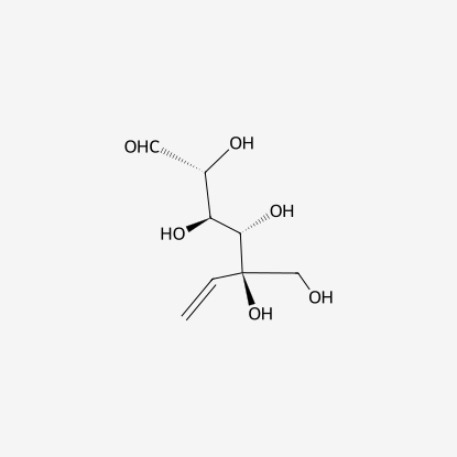 C=C[C@@](O)(CO)[C@@H](O)[C@@H](O)[C@@H](O)C=O